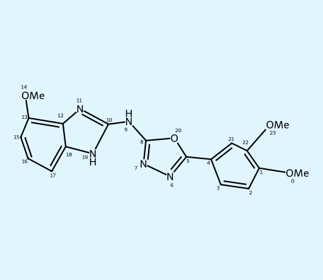 COc1ccc(-c2nnc(Nc3nc4c(OC)cccc4[nH]3)o2)cc1OC